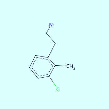 Cc1c(Cl)cccc1CC[N]